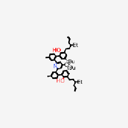 C=CCC(CC)CCc1cc(C(C)(C)C)cc(-c2ccc(C)cc2-c2cc(C(F)(F)F)cc(-c3cc(C)ccc3-c3cc(C(C)(C)C)cc(CCC(CC)CC=C)c3O)n2)c1O